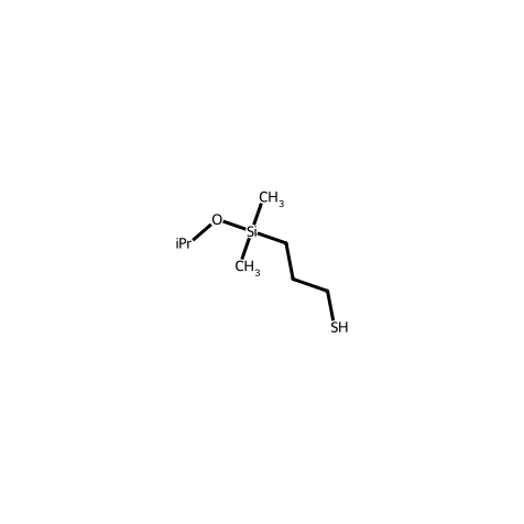 CC(C)O[Si](C)(C)CCCS